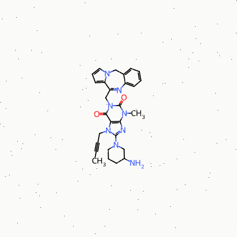 CC#CCn1c(N2CCCC(N)C2)nc2c1c(=O)n(CC1=Nc3ccccc3Cn3cccc31)c(=O)n2C